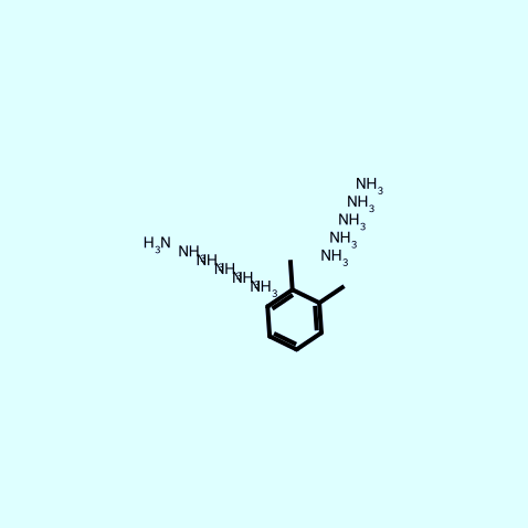 Cc1ccccc1C.N.N.N.N.N.N.N.N.N.N.N